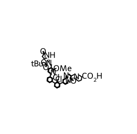 COc1nc(-c2cccc(-c3cccc(-c4ccn5c(=O)c(CN6CCC[C@H](C(=O)O)C6)cnc5c4)c3Cl)c2Cl)ccc1CN(C[C@@H]1CCC(=O)N1)C(=O)OC(C)(C)C